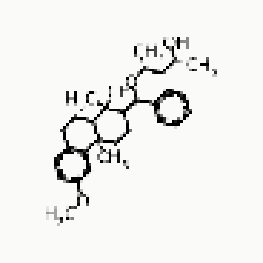 COc1ccc2c(c1)[C@@]1(C)CC[C@H]([C@@H](O[C@H](C)C[C@@H](C)O)c3ccccc3)C(C)(C)C1CC2